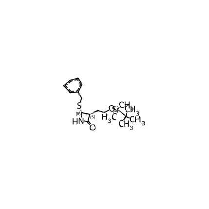 CC(C)(C)[Si](C)(C)OCC[C@H]1C(=O)N[C@@H]1SCc1ccccc1